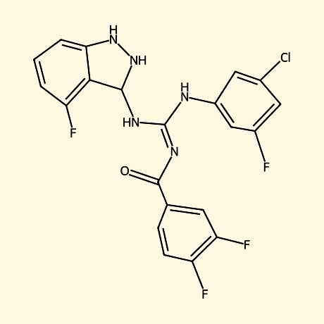 O=C(/N=C(/Nc1cc(F)cc(Cl)c1)NC1NNc2cccc(F)c21)c1ccc(F)c(F)c1